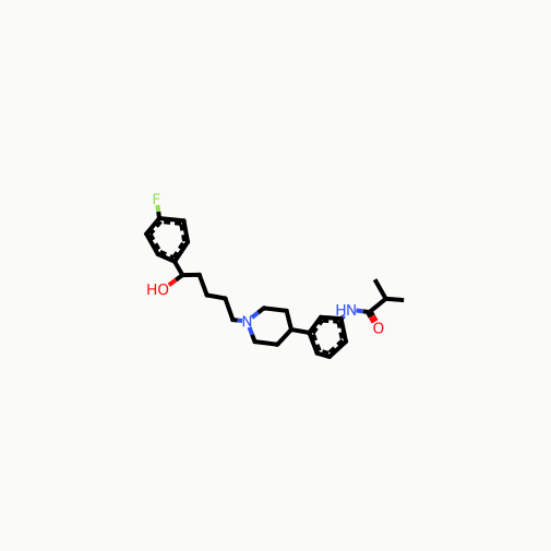 CC(C)C(=O)Nc1cccc(C2CCN(CCCCC(O)c3ccc(F)cc3)CC2)c1